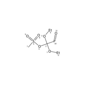 CCOC(OCC)(OS(C)(=O)=O)P=O